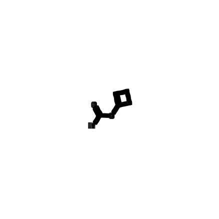 CCC(=O)OC1=CCC1